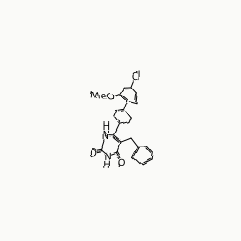 COc1cc(Cl)ccc1C1=CCC(c2[nH]c(=O)[nH]c(=O)c2Cc2ccccc2)CC1